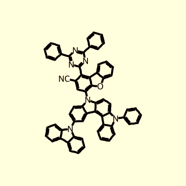 N#Cc1cc(-n2c3ccc(-n4c5ccccc5c5ccccc54)cc3c3c4c5ccccc5n(-c5ccccc5)c4ccc32)c2oc3ccccc3c2c1-c1nc(-c2ccccc2)nc(-c2ccccc2)n1